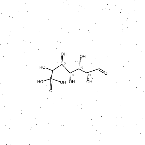 O=C[C@H](O)[C@@H](O)[C@H](O)[C@H](O)C(O)P(=O)(O)O